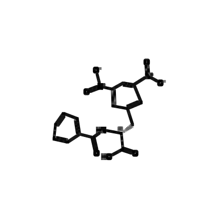 O=C(N[C@H](Cc1cc([N+](=O)[O-])cc([N+](=O)[O-])c1)C(=O)O)c1ccccc1